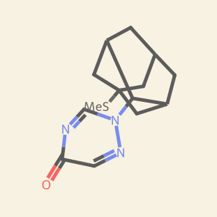 CSC12CC3CC(C1)C(n1cnc(=O)cn1)C(C3)C2